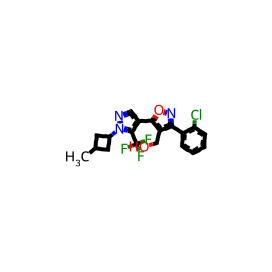 CC1CC(n2ncc(-c3onc(-c4ccccc4Cl)c3CO)c2C(F)(F)F)C1